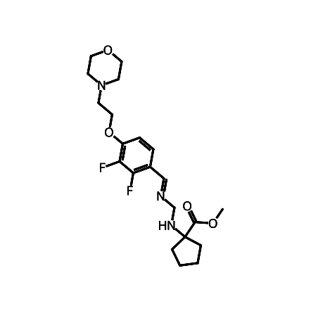 COC(=O)C1(NC/N=C/c2ccc(OCCN3CCOCC3)c(F)c2F)CCCC1